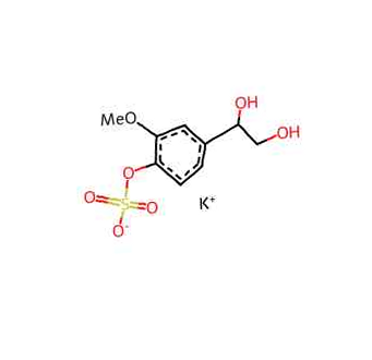 COc1cc(C(O)CO)ccc1OS(=O)(=O)[O-].[K+]